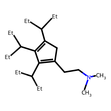 CCC(CC)C1=C(C(CC)CC)C(C(CC)CC)=C(CCN(C)C)C1